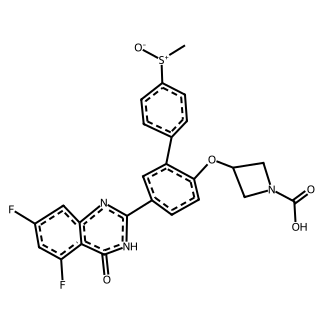 C[S+]([O-])c1ccc(-c2cc(-c3nc4cc(F)cc(F)c4c(=O)[nH]3)ccc2OC2CN(C(=O)O)C2)cc1